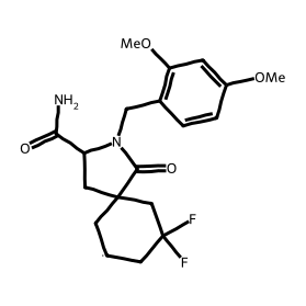 COc1ccc(CN2C(=O)C3(C[CH]CC(F)(F)C3)CC2C(N)=O)c(OC)c1